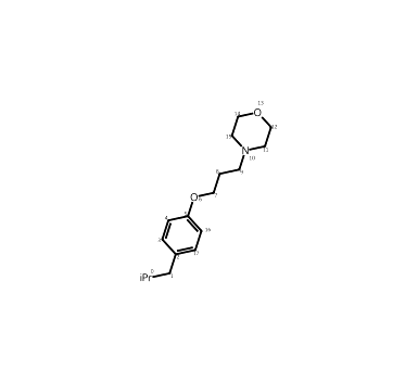 CC(C)Cc1ccc(OCCCN2CCOCC2)cc1